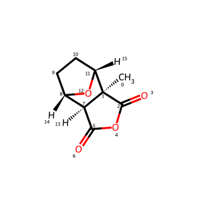 C[C@]12C(=O)OC(=O)[C@H]1[C@@H]1CC[C@H]2O1